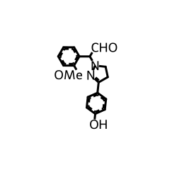 COc1ccccc1C(C=O)N1CCC(c2ccc(O)cc2)=N1